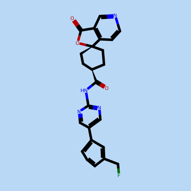 O=C1O[C@]2(CC[C@H](C(=O)Nc3ncc(-c4cccc(CF)c4)cn3)CC2)c2ccncc21